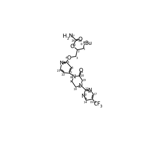 CC(C)(C)CC(COc1cc(N2CCN(c3ncc(C(F)(F)F)cn3)CC2=O)ccn1)OC(N)=O